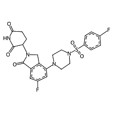 O=C1CCC(N2Cc3c(cc(F)cc3N3CCN(S(=O)(=O)c4ccc(F)cc4)CC3)C2=O)C(=O)N1